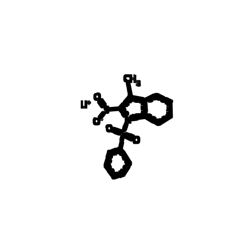 Cc1c(S(=O)[O-])n(S(=O)(=O)c2ccccc2)c2ccccc12.[Li+]